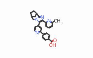 Cc1cccc(-c2nc3n(c2-c2ccnc(-c4ccc(C(=O)O)cc4)c2)CC2CCC3C2)n1